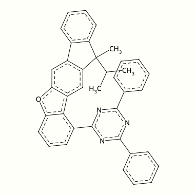 CC(C)C1(C)c2ccccc2-c2cc3oc4cccc(-c5nc(-c6ccccc6)nc(-c6ccccc6)n5)c4c3cc21